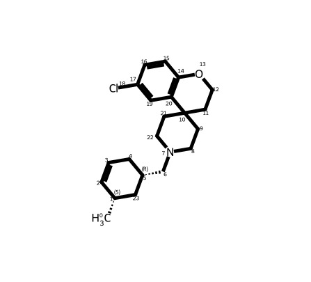 C[C@@H]1C=CC[C@H](CN2CCC3(CCOc4ccc(Cl)cc43)CC2)C1